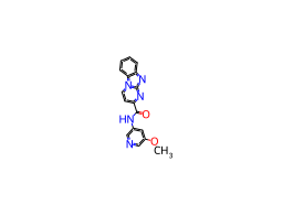 COc1cncc(NC(=O)c2ccn3c(n2)nc2ccccc23)c1